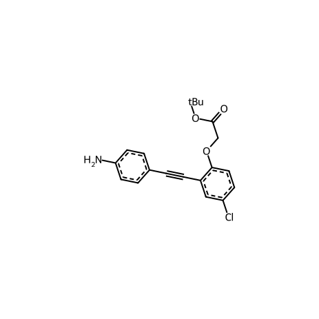 CC(C)(C)OC(=O)COc1ccc(Cl)cc1C#Cc1ccc(N)cc1